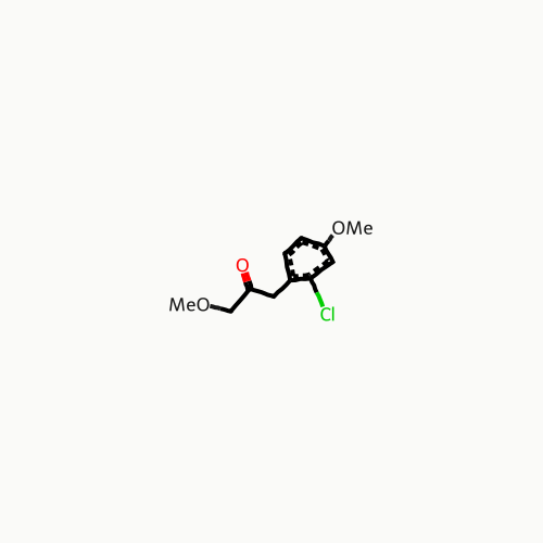 COCC(=O)Cc1ccc(OC)cc1Cl